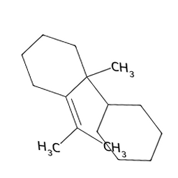 CC(C)=C1CCCCC1(C)C1CCCCC1